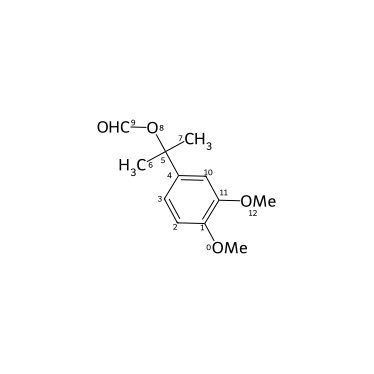 COc1ccc(C(C)(C)OC=O)cc1OC